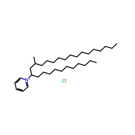 CCCCCCCCCCCCCCC(C)CC(CCCCCCCCCCC)[n+]1ccccc1.[Cl-]